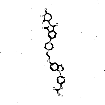 NC(=O)Nc1ccc(-n2cnc3cc(OCCN4CCN(c5ccc6c(c5)C(=O)N(C5CCC(=O)NC5=O)C6=O)CC4)ccc32)cc1